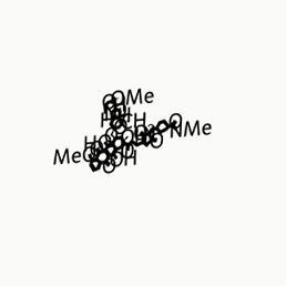 CNC(=O)C1CCC(CN2C(=O)CC(CCC(=O)[C@]3(O)Cc4c(O)c5c(c(O)c4[C@@H](O[C@H]4C[C@H]6[C@H](O[C@@H]7[C@@H](OC)OCCN76)[C@H](C)O4)C3)C(=O)c3c(OC)cccc3C5=O)C2=O)CC1